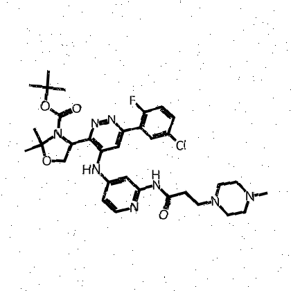 CN1CCN(CCC(=O)Nc2cc(Nc3cc(-c4cc(Cl)ccc4F)nnc3C3COC(C)(C)N3C(=O)OC(C)(C)C)ccn2)CC1